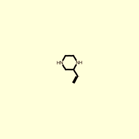 C=[C]C1CNCCN1